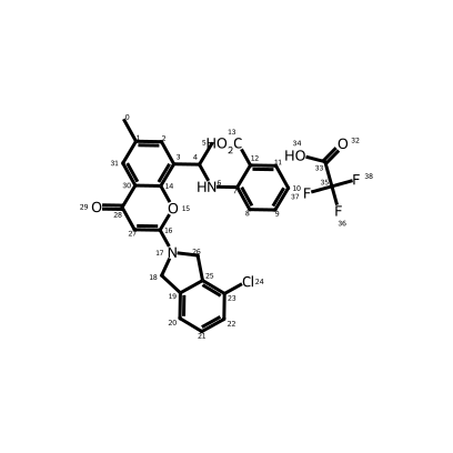 Cc1cc(C(C)Nc2ccccc2C(=O)O)c2oc(N3Cc4cccc(Cl)c4C3)cc(=O)c2c1.O=C(O)C(F)(F)F